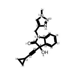 [CH2]n1cc(CN2C(=O)C(O)(C#CC3CC3)c3ccccc32)nn1